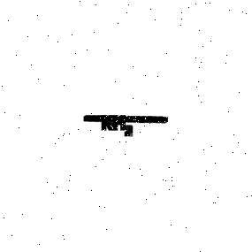 CCCCCC=CCC=CCCCCCCCCCCCC(N)CCCCCCCC